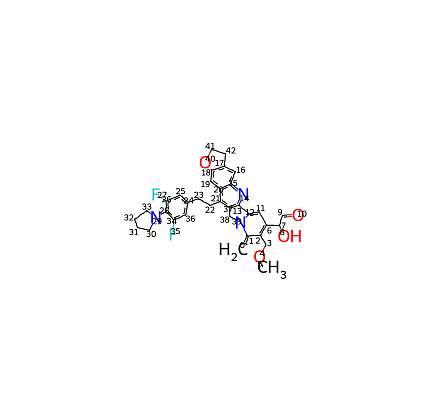 C=C1C(COC)=C(C(O)C=O)C=C2c3nc4cc5c(cc4c(CCc4cc(F)c(N6CCCC6)c(F)c4)c3CN12)OCC5